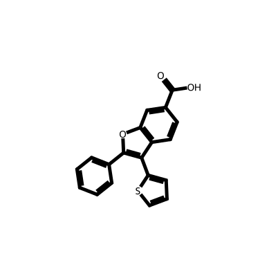 O=C(O)c1ccc2c(-c3cccs3)c(-c3ccccc3)oc2c1